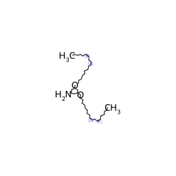 CCCCC/C=C\C/C=C\CCCCCCCCOC1CC(N)CC(OCCCCCCCC/C=C\C/C=C\CCCCC)C1